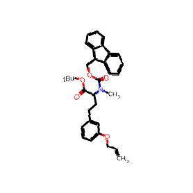 C=CCOc1cccc(CCC(C(=O)OC(C)(C)C)N(C)C(=O)OCC2c3ccccc3-c3ccccc32)c1